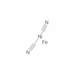 N#[C][Ni][C]#N.[Fe]